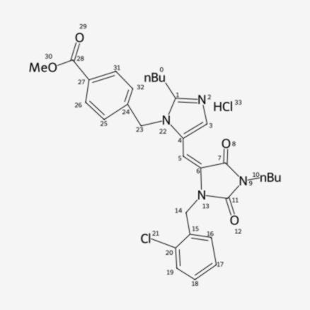 CCCCc1ncc(C=C2C(=O)N(CCCC)C(=O)N2Cc2ccccc2Cl)n1Cc1ccc(C(=O)OC)cc1.Cl